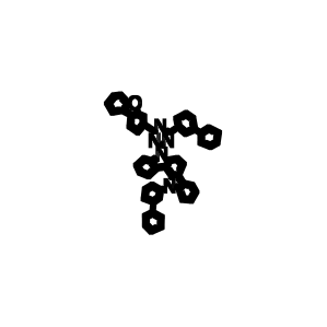 c1ccc(-c2cccc(-c3nc(-c4ccc5c(c4)oc4ccccc45)nc(-n4c5ccccc5c5c4ccc4c6ccccc6n(-c6cccc(-c7ccccc7)c6)c45)n3)c2)cc1